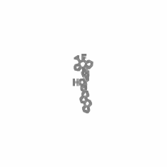 O[C@H](COc1ccc2c(ccc3c4ccccc4ccc23)c1)CN1CCN(C2c3ccccc3C(F)C(C3CC3)c3ccccc32)CC1